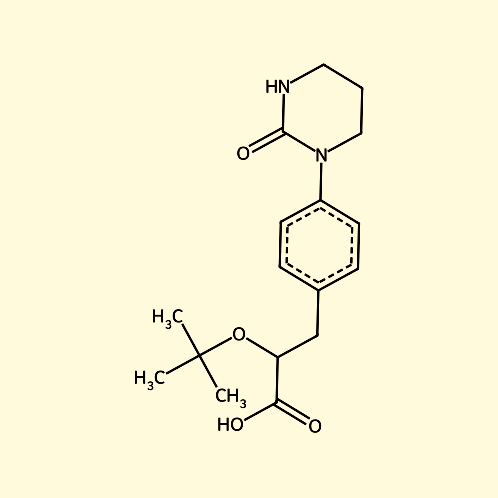 CC(C)(C)OC(Cc1ccc(N2CCCNC2=O)cc1)C(=O)O